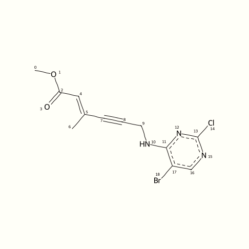 COC(=O)/C=C(\C)C#CCNc1nc(Cl)ncc1Br